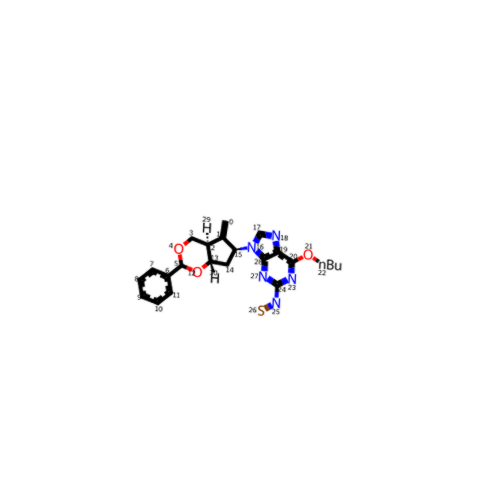 C=C1[C@@H]2COC(c3ccccc3)O[C@H]2C[C@@H]1n1cnc2c(OCCCC)nc(N=S)nc21